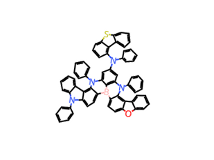 c1ccc(N2c3cc(N(c4ccccc4)c4cccc5sc6ccccc6c45)cc4c3B(c3ccc5oc6ccccc6c5c32)c2ccc3c(c2N4c2ccccc2)c2ccccc2n3-c2ccccc2)cc1